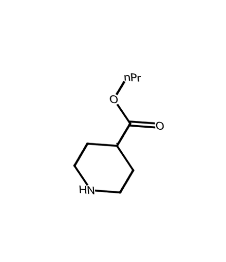 CCCOC(=O)[C]1CCNCC1